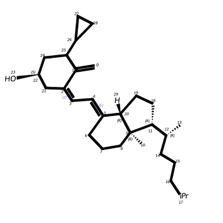 C=C1/C(=C\C=C2/CCC[C@]3(C)[C@@H]([C@H](C)CCCC(C)C)CC[C@@H]23)C[C@@H](O)CC1C1CC1